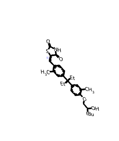 CCC(CC)(c1ccc(/C=C2/SC(=O)NC2=O)c(C)c1)c1ccc(OCC(O)C(C)(C)C)c(C)c1